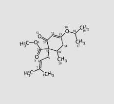 COC(=O)C1(CC=C(C)C)C(=O)C=C(OC(C)C)CC1C